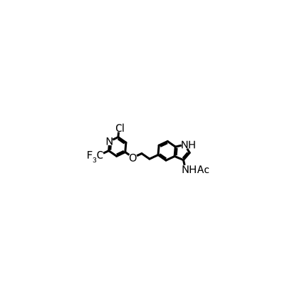 CC(=O)Nc1c[nH]c2ccc(CCOc3cc(Cl)nc(C(F)(F)F)c3)cc12